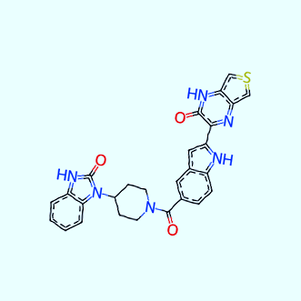 O=C(c1ccc2[nH]c(-c3nc4cscc4[nH]c3=O)cc2c1)N1CCC(n2c(=O)[nH]c3ccccc32)CC1